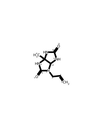 C=CCN1C(=O)NC2(C)NC(=O)NC12